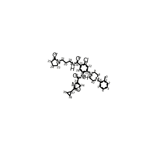 Cc1ccccc1N1CCN(c2cc(Cl)c(C(=O)NCCCN3CCCC3=O)cc2NC(=O)c2coc(C3CC3)n2)CC1